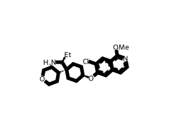 CC[C@H](N)[C@]1(C2CCOCC2)CC[C@H](Oc2cc3ccnc(OC)c3cc2Cl)CC1